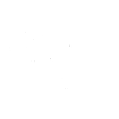 Cc1c(OCc2ccccc2)c(=O)ccn1CC1(O)C(O)C1(C)C